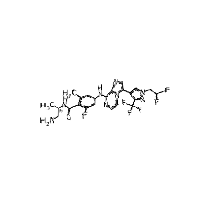 Cc1cc(Nc2nccn3c(-c4cn(CC(F)F)nc4C(F)(F)F)cnc23)cc(F)c1C(=O)N[C@H](C)CN